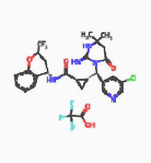 CC1(C)CC(=O)N(C(c2cncc(Cl)c2)[C@@H]2C[C@H]2C(=O)N[C@H]2C[C@H](C(F)(F)F)Oc3ccccc32)C(=N)N1.O=C(O)C(F)(F)F